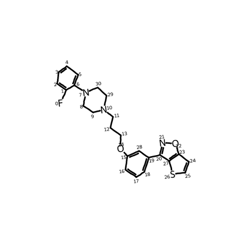 Fc1ccccc1N1CCN(CCCOc2cccc(-c3noc4ccsc34)c2)CC1